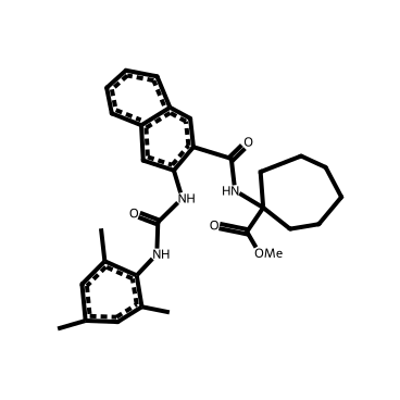 COC(=O)C1(NC(=O)c2cc3ccccc3cc2NC(=O)Nc2c(C)cc(C)cc2C)CCCCCC1